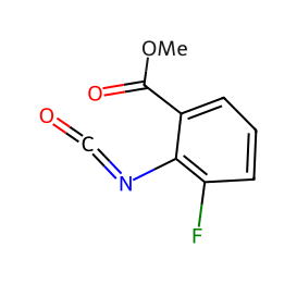 COC(=O)c1cccc(F)c1N=C=O